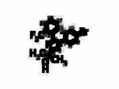 CC(C)(O)c1cn(-c2ccc(Br)cc2)c(-c2ccccc2C(F)(F)F)n1